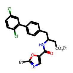 CCOC(=O)CC(Cc1ccc(-c2cc(Cl)ccc2Cl)cc1)NC(=O)c1cnc(CC)o1